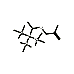 C=C(C)COC(C)[Si]([Si](C)(C)C)([Si](C)(C)C)[Si](C)(C)C